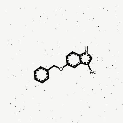 CC(=O)c1c[nH]c2ccc(OCc3ccccc3)cc12